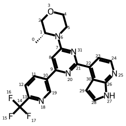 C[C@@H]1COCCN1c1cc(-c2ccc(C(F)(F)F)nc2)nc(-c2ccnc3[nH]ccc23)n1